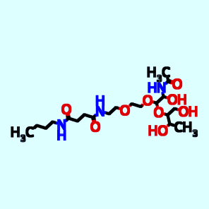 CCCCNC(=O)CCC(=O)NCCOCCOC(OC(CO)C(C)O)C(O)NC(C)=O